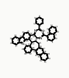 c1ccc(C2=NC(c3cccc4ccccc34)=NCC(c3ccc4c(sc5ccccc54)c3C3CCc4cc5ccccc5cc4-c4ccccc43)=N2)cc1